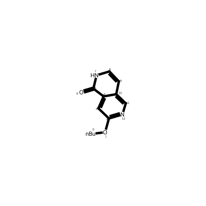 CCCCOc1cc2c(=O)[nH]ccc2cn1